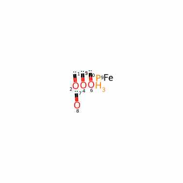 P.[C]=O.[C]=O.[C]=O.[C]=O.[Fe]